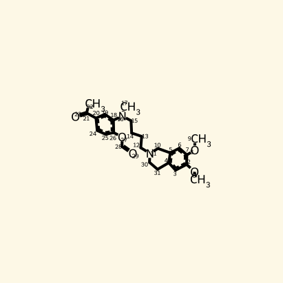 COc1cc2c(cc1OC)CN(CCCCN(C)c1cc(C(C)=O)ccc1OC=O)CC2